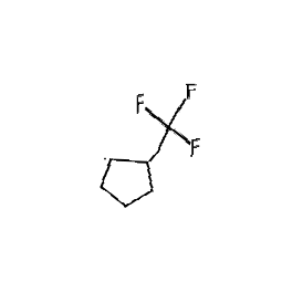 FC(F)(F)C1[CH]CCC1